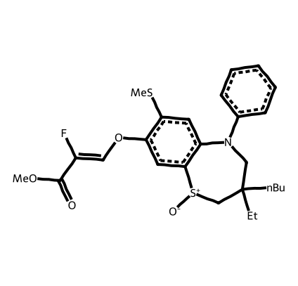 CCCCC1(CC)CN(c2ccccc2)c2cc(SC)c(O/C=C(\F)C(=O)OC)cc2[S+]([O-])C1